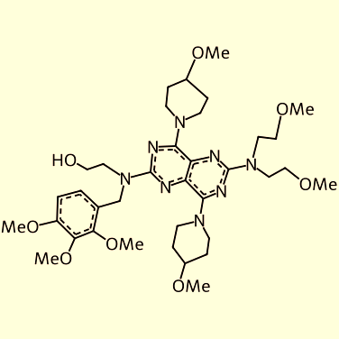 COCCN(CCOC)c1nc(N2CCC(OC)CC2)c2nc(N(CCO)Cc3ccc(OC)c(OC)c3OC)nc(N3CCC(OC)CC3)c2n1